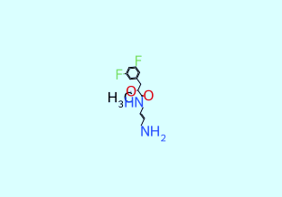 COC(Cc1cc(F)cc(F)c1)C(=O)NCC=CCN